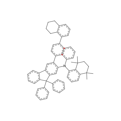 CC1(C)CCC(C)(C)c2c(N(c3ccccc3)c3cc4c(cc3-c3ccc(-c5cccc6c5CCCC6)cc3)-c3ccccc3C4(c3ccccc3)c3ccccc3)cccc21